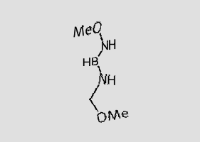 COCNBNOC